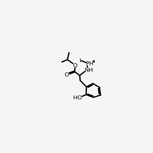 C=[PH](I)NC(Cc1ccccc1O)C(=O)OC(C)C